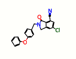 N#Cc1cc(Cl)cc2c1C(=O)N(Cc1ccc(Oc3ccccc3)cc1)C2